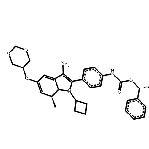 C[C@@H](OC(=O)Nc1ccc(C2=C(N)C3=CC(OC4COCOC4)=C[C@H](C)C3N2C2CCC2)cc1)c1ccccc1